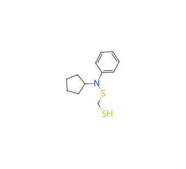 SCSN(c1ccccc1)C1CCCC1